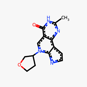 Cc1nc2c3ccnc-3n(C3CCOC3)cc2c(=O)[nH]1